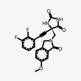 COc1ccc2c(c1)C(=O)N(C[C@@]1(C#Cc3cccc(F)c3F)NC(=O)NC1=O)C2